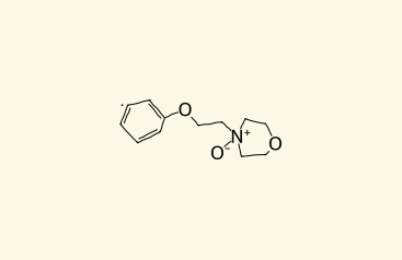 [O-][N+]1(CCOc2c[c]ccc2)CCOCC1